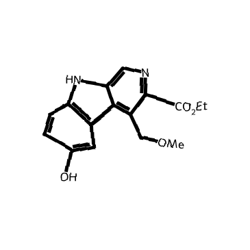 CCOC(=O)c1ncc2[nH]c3ccc(O)cc3c2c1COC